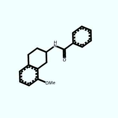 COc1cccc2c1CC(NC(=O)c1ccccc1)CC2